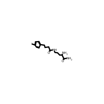 NC(=O)C(N)CCCNC(=O)CCCc1ccc(I)cc1